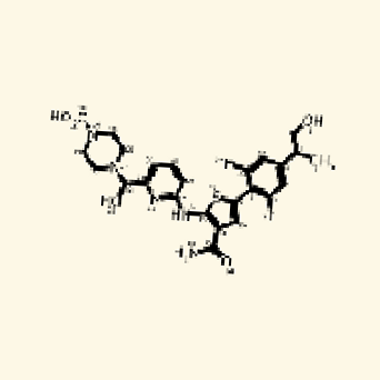 CC(CO)c1cc(F)c(-c2cc(C(N)=O)c(Nc3cccc(C(O)N4CCN(C(=O)O)CC4)n3)s2)c(F)c1